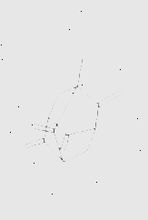 C=C1C2CC3(C)C(=C)C1CC(C2=C)C3=C